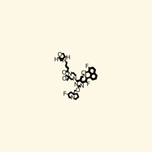 O=C(/C=C/CN1C[C@H]2C[C@@H]1CO2)N1CCN(c2nc(OC[C@@]34CCCN3C[C@H](F)C4)nc3c(F)c(-c4cccc5ccc(F)c(Cl)c45)ncc23)CC12COC2